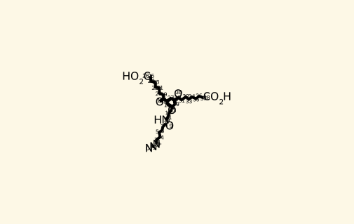 [N-]=[N+]=NCCCCCC(=O)NCCOc1cc(C(=O)CCCCCCCC(=O)O)cc(C(=O)CCCCCCCC(=O)O)c1